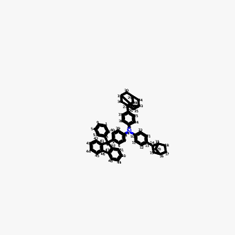 c1ccc(C2(c3ccc(N(c4ccc(C5CC6CCC5C6)cc4)c4ccc(C56CC7CC(CC(C7)C5)C6)cc4)cc3)c3ccccc3-c3ccccc32)cc1